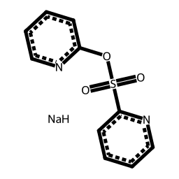 O=S(=O)(Oc1ccccn1)c1ccccn1.[NaH]